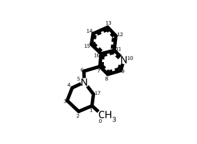 CC1CCCN(Cc2ccnc3ccccc23)C1